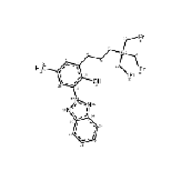 Cc1cc(CCC[Si](CC(C)C)(CC(C)C)CC(C)C)c(O)c(-n2nc3ccccc3n2)c1